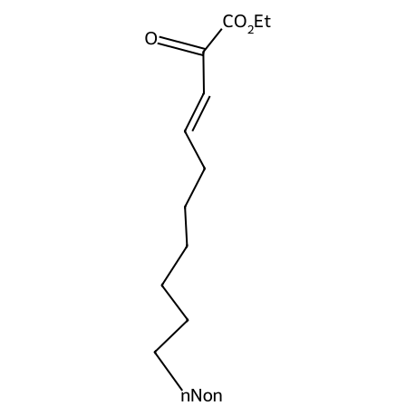 CCCCCCCCCCCCCCCC=CC(=O)C(=O)OCC